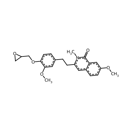 COc1ccc2cc(CCc3ccc(OCC4CO4)c(OC)c3)n(C)c(=O)c2c1